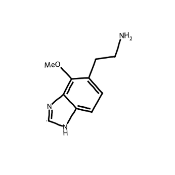 COc1c(CCN)ccc2[nH][c]nc12